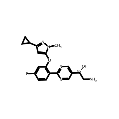 Cn1nc(C2CC2)cc1Oc1cc(F)ccc1-c1ncc([C@H](O)CN)cn1